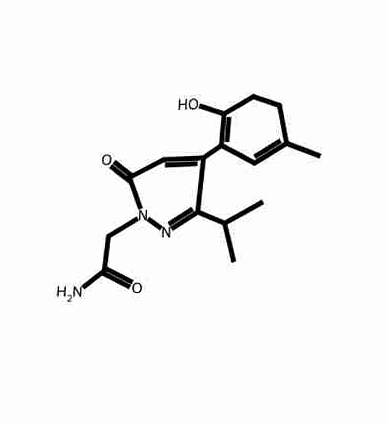 CC1=CC(c2cc(=O)n(CC(N)=O)nc2C(C)C)=C(O)CC1